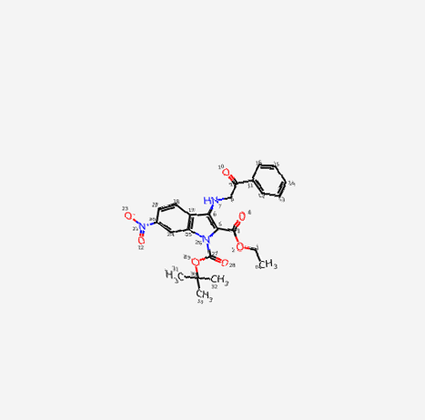 CCOC(=O)c1c(NCC(=O)c2ccccc2)c2ccc([N+](=O)[O-])cc2n1C(=O)OC(C)(C)C